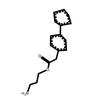 NCCCOC(=O)Cc1ccc(-c2ccccc2)cc1